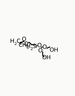 C=C(C)C(=O)OCCC[SiH2]OC(OCCO)OCCO